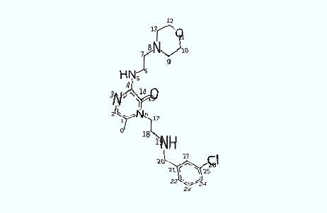 Cc1cnc(NCCN2CCOCC2)c(=O)n1CCNCc1cccc(Cl)c1